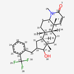 CN1C(=O)C=C[C@@]2(C)C1CC[C@@H]1[C@H]2CC[C@]2(C)C(O)C(Cc3ccccc3C(F)(F)F)C[C@@H]12